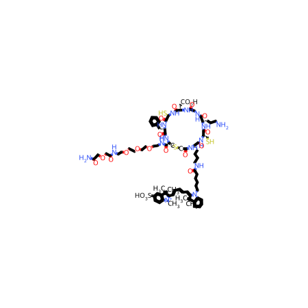 C[N+]1=C(/C=C/C=C/C=C2/N(CCCCCC(=O)NCCCC[C@@H]3NC(=O)CSC[C@@H](C(=O)NCCOCCOCCOCCNC(=O)COCC(N)=O)NC(=O)[C@H](Cc4ccccc4)NC(=O)[C@H](S)NC(=O)[C@H](CC(=O)O)NC(=O)CNC(=O)[C@H](CCCN)NC(=O)[C@H](CS)NC3=O)c3ccccc3C2(C)C)C(C)(C)c2cc(S(=O)(=O)O)ccc21